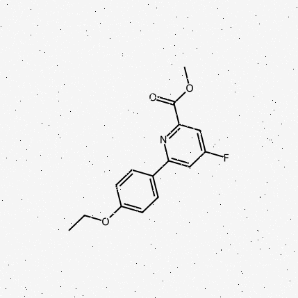 CCOc1ccc(-c2cc(F)cc(C(=O)OC)n2)cc1